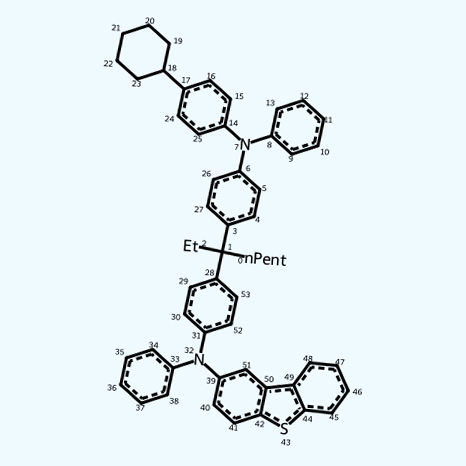 CCCCCC(CC)(c1ccc(N(c2ccccc2)c2ccc(C3CCCCC3)cc2)cc1)c1ccc(N(c2ccccc2)c2ccc3sc4ccccc4c3c2)cc1